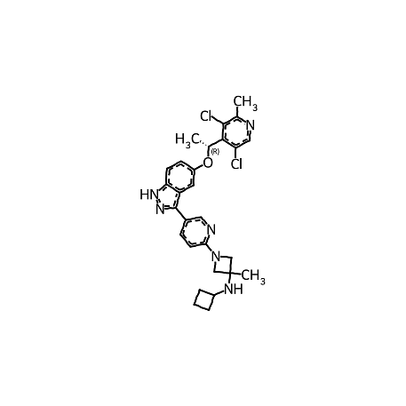 Cc1ncc(Cl)c([C@@H](C)Oc2ccc3[nH]nc(-c4ccc(N5CC(C)(NC6CCC6)C5)nc4)c3c2)c1Cl